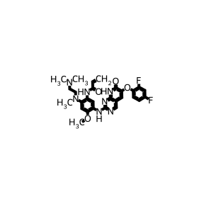 C=CC(=O)Nc1cc(Nc2ncc3cc(Oc4ccc(F)cc4F)c(=O)[nH]c3n2)c(OC)cc1N(C)CCN(C)C